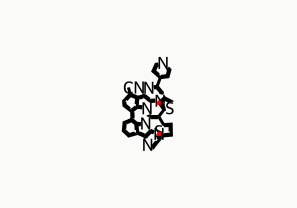 N#Cc1ccc2c3cccc4c5nccnc5n(c(=C(c5cccs5)c5cccs5)n5c6ncc(-c7ccncc7)nc6c1c25)c34